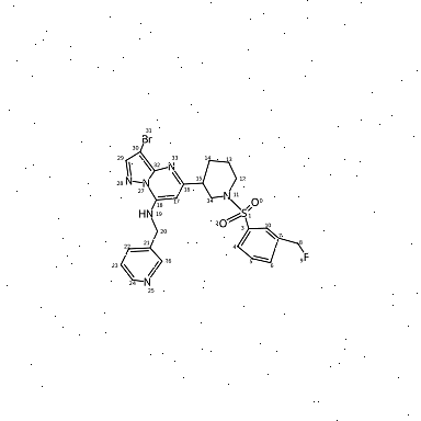 O=S(=O)(c1cccc(CF)c1)N1CCCC(c2cc(NCc3cccnc3)n3ncc(Br)c3n2)C1